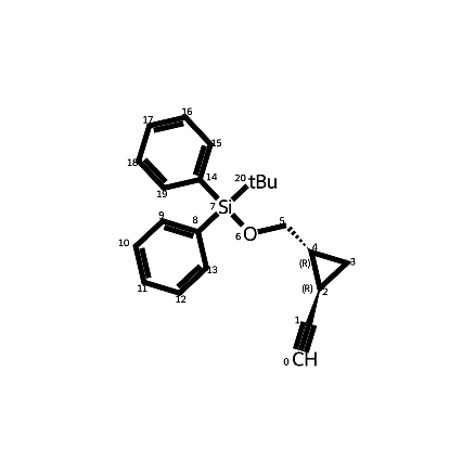 C#C[C@@H]1C[C@H]1CO[Si](c1ccccc1)(c1ccccc1)C(C)(C)C